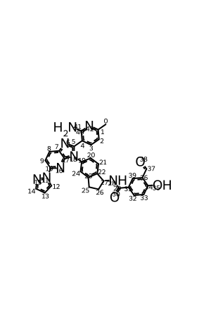 Cc1ccc(-c2nc3ccc(-n4cccn4)nc3n2-c2ccc3c(c2)CC[C@@H]3NC(=O)c2ccc(O)c(C=O)c2)c(N)n1